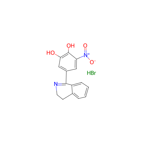 Br.O=[N+]([O-])c1cc(C2=NCCc3ccccc32)cc(O)c1O